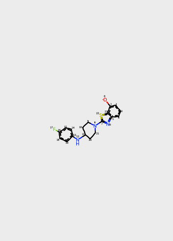 [O]c1cccc2nc(N3CCC(Nc4ccc(F)cc4)CC3)sc12